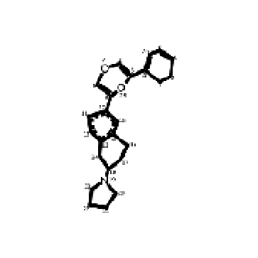 C1=CCCC(C2=COC=C(c3ccc4c(c3)CCC(N3CCCC3)C4)O2)=C1